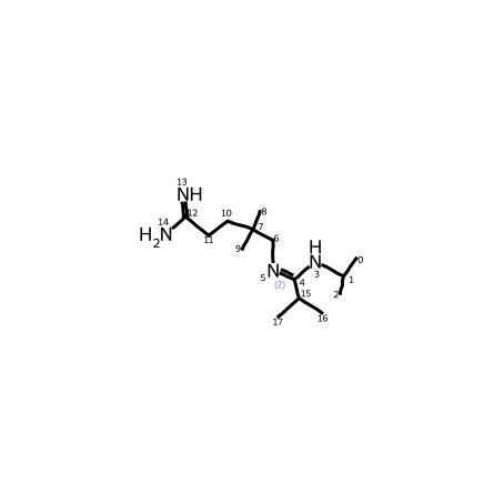 CC(C)N/C(=N\CC(C)(C)CCC(=N)N)C(C)C